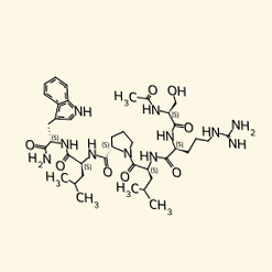 CC(=O)N[C@@H](CO)C(=O)N[C@@H](CCCNC(=N)N)C(=O)N[C@@H](CC(C)C)C(=O)N1CCC[C@H]1C(=O)N[C@@H](CC(C)C)C(=O)N[C@@H](Cc1c[nH]c2ccccc12)C(N)=O